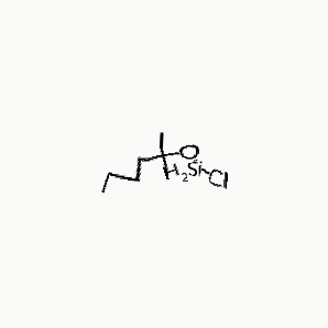 CCCCC(C)(C)O[SiH2]Cl